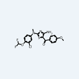 COc1ccc(C(=O)c2sc(N(C)c3ccc(OC(F)F)c(Cl)c3)nc2N)cc1